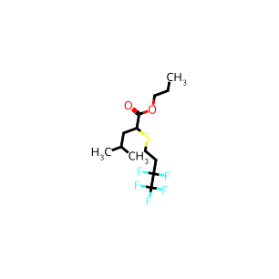 CCCOC(=O)C(CC(C)C)SCCC(F)(F)C(F)(F)F